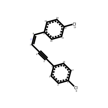 Clc1ccc(C#C/C=C\c2ccc(Cl)cc2)cc1